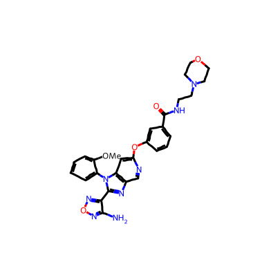 COc1ccccc1-n1c(-c2nonc2N)nc2cnc(Oc3cccc(C(=O)NCCN4CCOCC4)c3)cc21